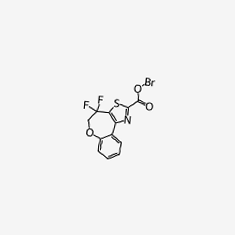 O=C(OBr)c1nc2c(s1)C(F)(F)COc1ccccc1-2